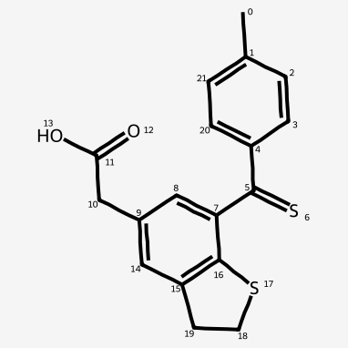 Cc1ccc(C(=S)c2cc(CC(=O)O)cc3c2SCC3)cc1